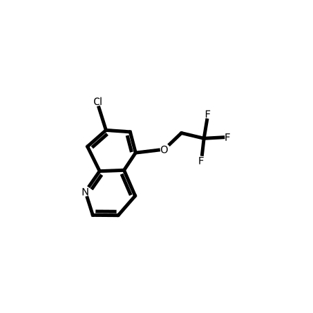 FC(F)(F)COc1cc(Cl)cc2ncccc12